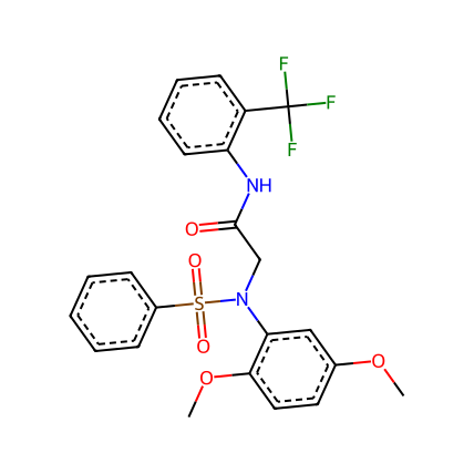 COc1ccc(OC)c(N(CC(=O)Nc2ccccc2C(F)(F)F)S(=O)(=O)c2ccccc2)c1